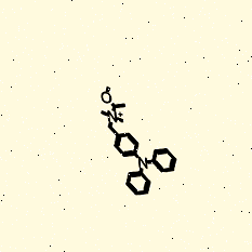 COC(C)[N+](C)(C)Cc1ccc(N(c2ccccc2)c2ccccc2)cc1